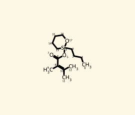 CCCC[Si]1(OC(=O)C(C)=C(C)C)CCCCO1